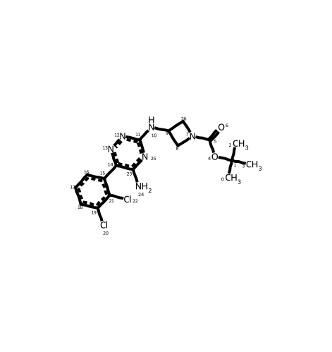 CC(C)(C)OC(=O)N1CC(Nc2nnc(-c3cccc(Cl)c3Cl)c(N)n2)C1